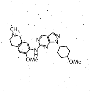 COc1cc2c(cc1Nc1ncc3cnn([C@H]4CC[C@H](OC)CC4)c3n1)CN(C)CC2